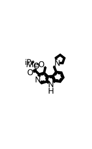 COCc1c(C(=O)OC(C)C)ncc2[nH]c3cccc(CN4CCCC4)c3c12